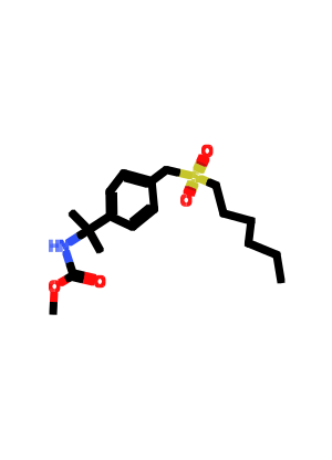 CCCCCCS(=O)(=O)Cc1ccc(C(C)(C)NC(=O)OC)cc1